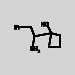 CC(C)CC(N)C1(O)CCC1